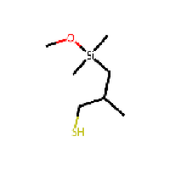 CO[Si](C)(C)CC(C)CS